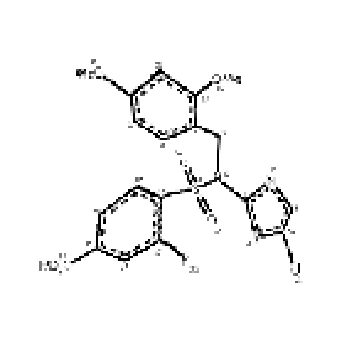 COc1ccc(CN(c2ncc(Cl)s2)S(=O)(=O)c2ccc(C(=O)O)cc2F)c(OC)c1